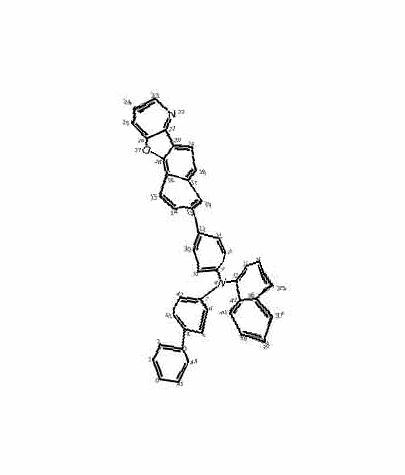 c1ccc(-c2ccc(N(c3ccc(-c4ccc5c(ccc6c7ncccc7oc56)c4)cc3)c3cccc4ccccc34)cc2)cc1